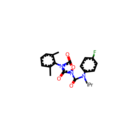 Cc1cccc(C)c1-n1c(=O)on(C(=O)N(c2ccc(F)cc2)C(C)C)c1=O